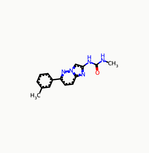 CNC(=O)Nc1cn2nc(-c3cccc(C)c3)ccc2n1